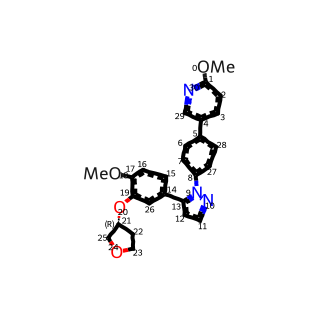 COc1ccc(-c2ccc(-n3nccc3-c3ccc(OC)c(O[C@@H]4CCOC4)c3)cc2)cn1